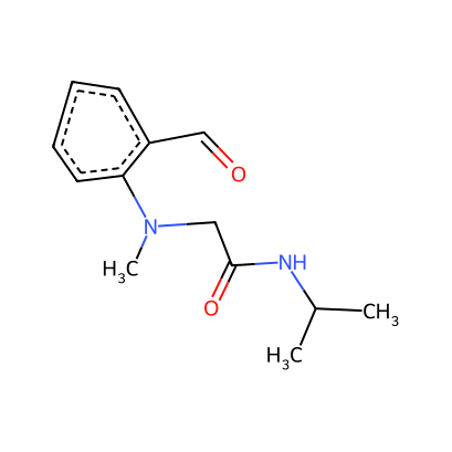 CC(C)NC(=O)CN(C)c1ccccc1C=O